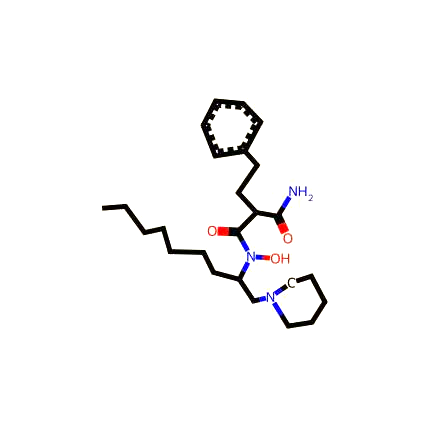 CCCCCCCC(CN1CCCCC1)N(O)C(=O)C(CCc1ccccc1)C(N)=O